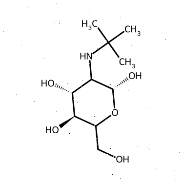 CC(C)(C)NC1[C@H](O)OC(CO)[C@@H](O)[C@@H]1O